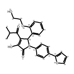 CC(C)C(=O)C1=C(O)C(=O)N(c2ccc(-c3ccco3)cc2)C1c1ccccc1OCCO